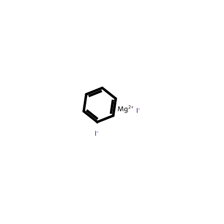 [I-].[I-].[Mg+2].[c]1ccccc1